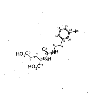 O=C(O)CC[C@H](NC(=O)NCCc1cccc(I)c1)C(=O)O